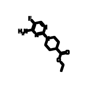 CCOC(=O)C1CCN(c2ncc(F)c(N)n2)CC1